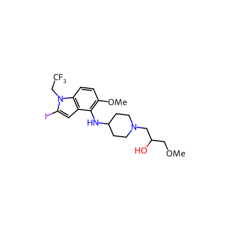 COCC(O)CN1CCC(Nc2c(OC)ccc3c2cc(I)n3CC(F)(F)F)CC1